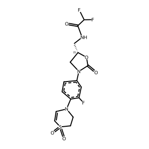 O=C(NC[C@H]1CN(c2ccc(N3C=CS(=O)(=O)CC3)c(F)c2)C(=O)O1)C(F)F